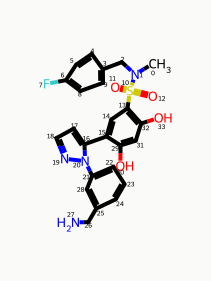 CN(Cc1ccc(F)cc1)S(=O)(=O)c1cc(-c2ccnn2-c2cccc(CN)c2)c(O)cc1O